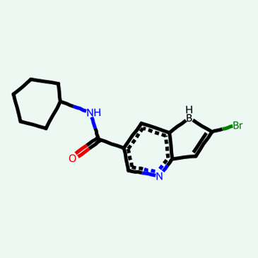 O=C(NC1CCCCC1)c1cnc2c(c1)BC(Br)=C2